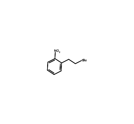 CC(C)(C)CCc1ccccc1[N+](=O)[O-]